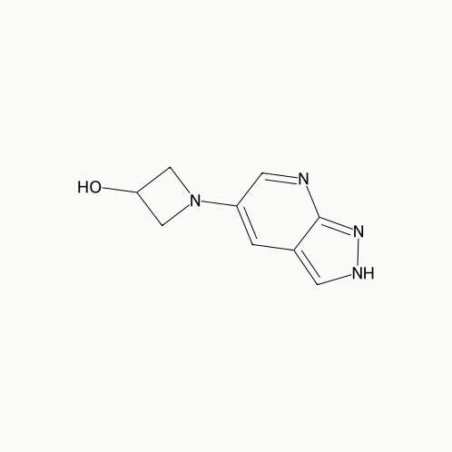 OC1CN(c2cnc3n[nH]cc3c2)C1